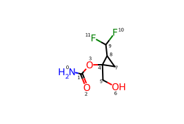 NC(=O)OC1(CO)CC1C(F)F